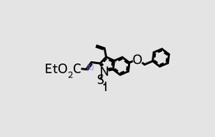 C=Cc1c(/C=C/C(=O)OCC)n(SI)c2ccc(OCc3ccccc3)cc12